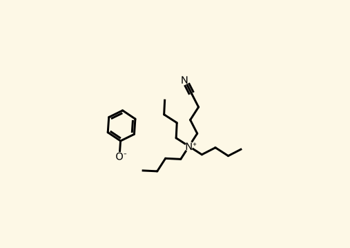 CCCC[N+](CCCC)(CCCC)CCCC#N.[O-]c1ccccc1